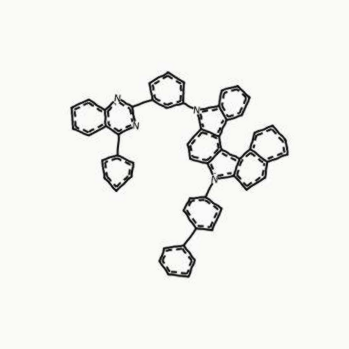 c1ccc(-c2ccc(-n3c4ccc5ccccc5c4c4c5c6ccccc6n(-c6cccc(-c7nc(-c8ccccc8)c8ccccc8n7)c6)c5ccc43)cc2)cc1